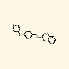 O=C(NCc1ccc(Oc2ccncc2)cc1)Nc1ccccc1Cl